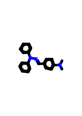 CN(C)c1ccc(C=NN(c2ccccc2)c2ccccc2)cc1